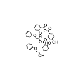 O=C(OC(=O)c1ccccc1O)c1ccc(O)cc1.O=C(OCCOc1ccccc1)c1ccccc1O.OCCOc1ccccc1